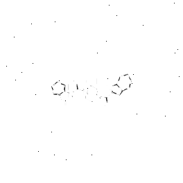 CC1CN(C(=O)c2cc3ccccc3o2)CCN1C(=O)Nc1ccccc1Br